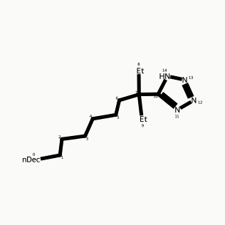 CCCCCCCCCCCCCCCCC(CC)(CC)c1nnn[nH]1